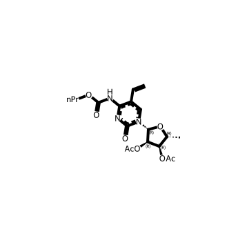 C=Cc1cn([C@@H]2O[C@H](C)[C@@H](OC(C)=O)[C@H]2OC(C)=O)c(=O)nc1NC(=O)OCCC